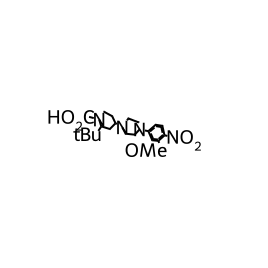 COc1cc(N2CCN(C3CCN(C(=O)O)C(C(C)(C)C)C3)CC2)ccc1[N+](=O)[O-]